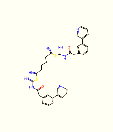 N=C(CCCCC(=N)SC(=N)NC(=O)Cc1cccc(-c2cccnc2)c1)SC(=N)NC(=O)Cc1cccc(-c2cccnc2)c1